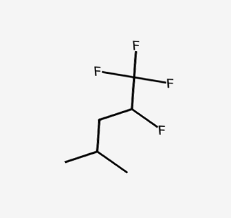 CC(C)CC(F)C(F)(F)F